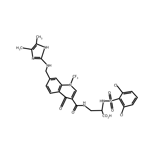 Cc1nc(NCc2ccc3c(=O)c(C(=O)NCC(NS(=O)(=O)c4c(Cl)cccc4Cl)C(=O)O)cn(C(F)(F)F)c3c2)[nH]c1C